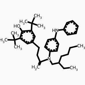 C=C(CCc1cc(C(C)(C)C)c(O)c(C(C)(C)C)c1)N(CC(CC)CCCC)c1ccc(Nc2ccccc2)cc1